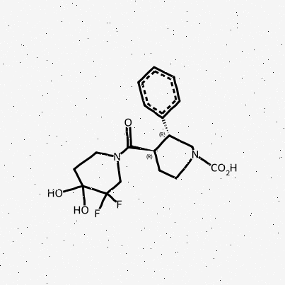 O=C(O)N1CC[C@@H](C(=O)N2CCC(O)(O)C(F)(F)C2)[C@H](c2ccccc2)C1